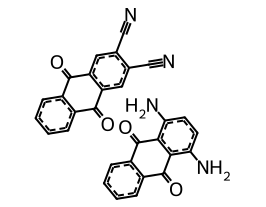 N#Cc1cc2c(cc1C#N)C(=O)c1ccccc1C2=O.Nc1ccc(N)c2c1C(=O)c1ccccc1C2=O